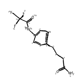 NC(=O)CCCc1ccc(NC(=O)C(F)(F)F)cc1